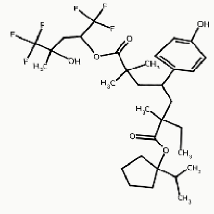 CCC(C)(CC(CC(C)(C)C(=O)OC(CC(C)(O)C(F)(F)F)C(F)(F)F)c1ccc(O)cc1)C(=O)OC1(C(C)C)CCCC1